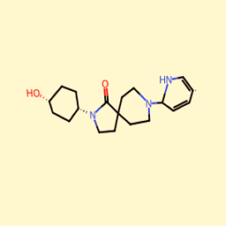 O=C1N([C@H]2CC[C@@H](O)CC2)CCC12CCN(C1C=C[C]=CN1)CC2